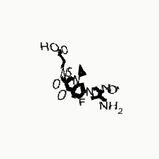 CO/N=C1/CN(c2cc3c(cc2F)c(=O)c2c(=O)n(CCCC(=O)O)sc2n3C2CC2)CC1CN